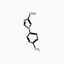 Cc1ccc(-n2cnc(C=O)c2)cc1